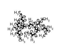 C=C(C(=O)COCC(CCOC(=O)C(=C)C(=O)OCC(COCC(=O)C(=C)C(=O)OCC)(COC(=O)C(=C)C(=O)OCC)COC(=O)C(=C)C(=O)OCC)(COC(=O)C(=C)C(=O)OCC)COC(=O)C(=C)C(=O)OCC)C(=O)OCC